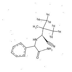 [2H]C([2H])([2H])C(C)([C@@H](C#N)NC(C(N)=O)c1ccccc1)C([2H])([2H])[2H]